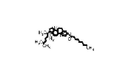 CCCCCCCCC(=O)O[C@H]1CC[C@@]2(C)C(CCC3[C@@H]4CC[C@H]([C@H](C)CCCC(C)C)[C@@]4(C)CC[C@@H]32)C1